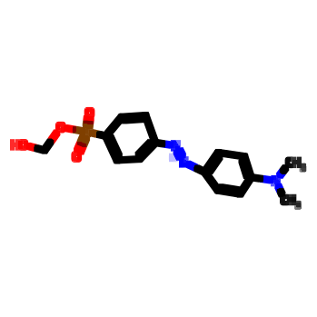 CN(C)c1ccc(/N=N/c2ccc(S(=O)(=O)OCO)cc2)cc1